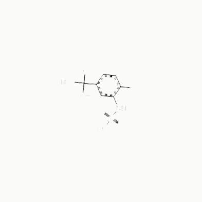 CC(C)(C)c1ccc(O)c(NS(C)(=O)=O)c1